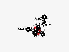 COc1ccc(C2O[C@H]3C[C@H]4OC[C@@]4(OC(C)=O)[C@H]4[C@H](OC(=O)c5ccccc5)[C@]5(C(C)(C)O)C[C@H](OC(=O)[C@@H]6OC(c7c(C)cccc7OC)C[C@H]6CC(C)C)C(C)=C5[C@@H](C)[C@H](O2)[C@]34C)cc1